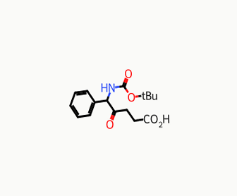 CC(C)(C)OC(=O)NC(C(=O)CCC(=O)O)c1ccccc1